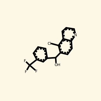 OC(c1cccc(C(F)(F)F)c1)c1ccc2ncccc2c1Cl